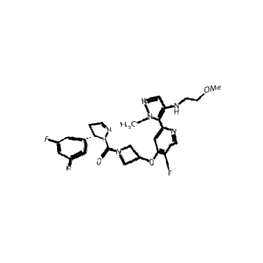 COCCNc1cnn(C)c1-c1cc(OC2CN(C(=O)N3N=CC[C@H]3c3cc(F)cc(F)c3)C2)c(F)cn1